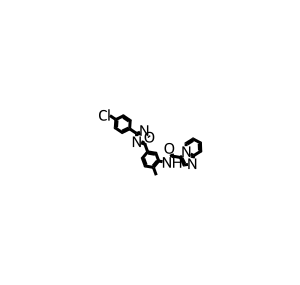 Cc1ccc(-c2nc(-c3ccc(Cl)cc3)no2)cc1NC(=O)c1cnc2ccccn12